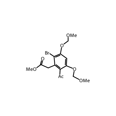 COCOc1cc(OCOC)c(C(C)=O)c(CC(=O)OC)c1Br